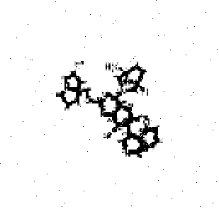 C[C@]12CC[C@H](CN(c3nc(OC[C@@]45CCCN4C[C@H](F)C5)nc4c(F)c(-c5cncc6cccc(Cl)c56)c(F)cc34)C1)N2